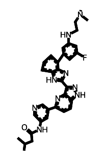 CC(C)CC(=O)Nc1cncc(-c2ccc3[nH]nc(-c4nc5c(-c6cc(F)cc(NCCN(C)C)c6)cccc5[nH]4)c3n2)c1